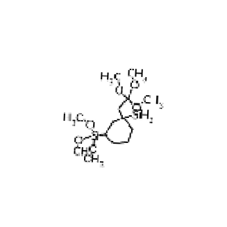 COC(CC1([SiH3])CCCC([Si](OC)(OC)OC)C1)(OC)OC